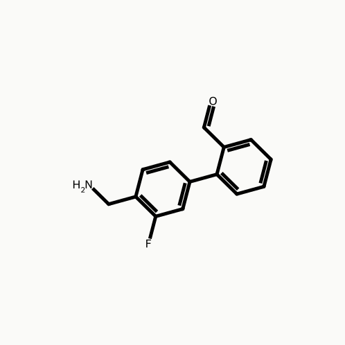 NCc1ccc(-c2ccccc2C=O)cc1F